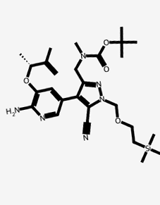 C=C(C)[C@@H](C)Oc1cc(-c2c(CN(C)C(=O)OC(C)(C)C)nn(COCC[Si](C)(C)C)c2C#N)cnc1N